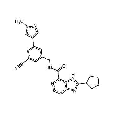 Cn1cc(-c2cc(C#N)cc(CNC(=O)c3nccc4nc(C5CCCC5)[nH]c34)c2)cn1